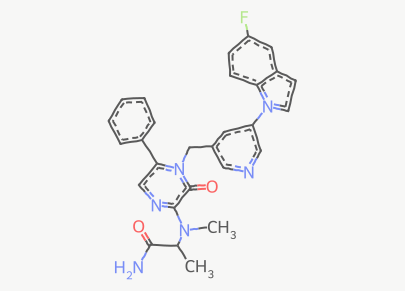 CC(C(N)=O)N(C)c1ncc(-c2ccccc2)n(Cc2cncc(-n3ccc4cc(F)ccc43)c2)c1=O